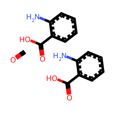 C=O.Nc1ccccc1C(=O)O.Nc1ccccc1C(=O)O